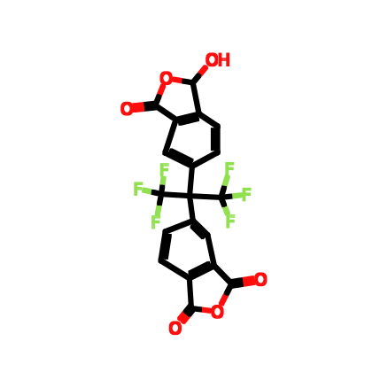 O=C1OC(=O)c2cc(C(c3ccc4c(c3)C(=O)OC4O)(C(F)(F)F)C(F)(F)F)ccc21